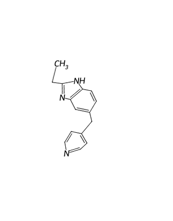 CCc1nc2cc(Cc3ccncc3)ccc2[nH]1